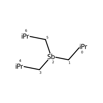 CC(C)[CH2][Sb]([CH2]C(C)C)[CH2]C(C)C